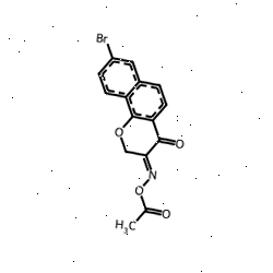 CC(=O)O/N=C1\COc2c(ccc3cc(Br)ccc23)C1=O